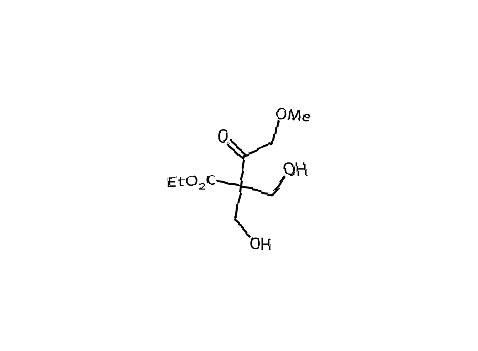 CCOC(=O)C(CO)(CO)C(=O)COC